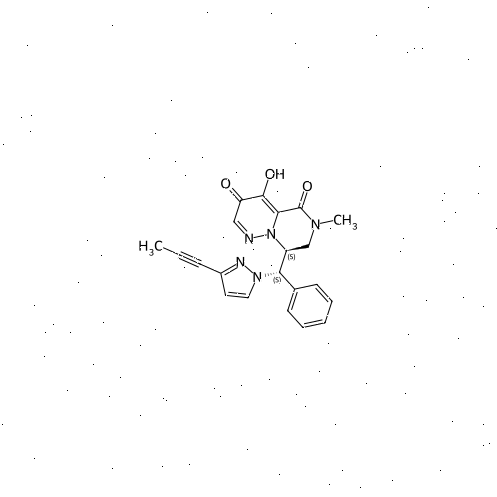 CC#Cc1ccn([C@@H](c2ccccc2)[C@@H]2CN(C)C(=O)c3c(O)c(=O)cnn32)n1